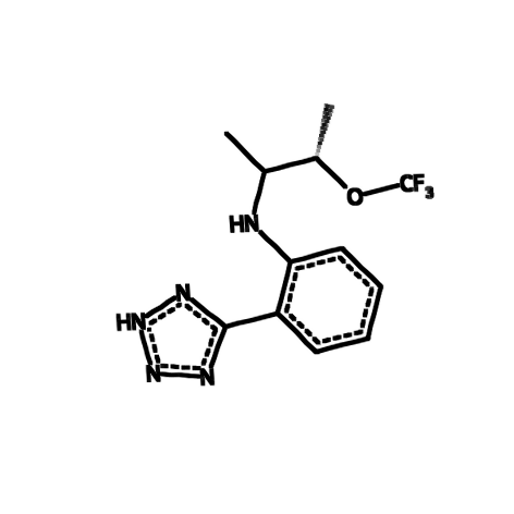 CC(Nc1ccccc1-c1nn[nH]n1)[C@H](C)OC(F)(F)F